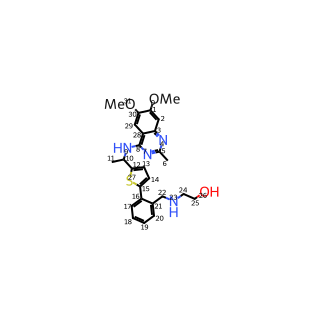 COc1cc2nc(C)nc(NC(C)c3ccc(-c4ccccc4CNCCO)s3)c2cc1OC